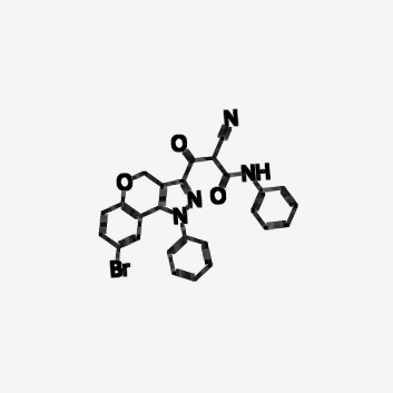 N#CC(C(=O)Nc1ccccc1)C(=O)c1nn(-c2ccccc2)c2c1COc1ccc(Br)cc1-2